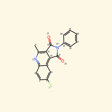 Cc1nc2ccc(F)cc2c2c1C(=O)N(c1ccccc1)C2=O